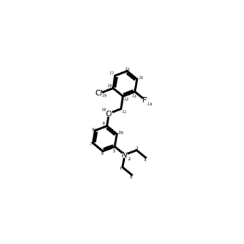 CCN(CC)c1cc[c]c(OCc2c(F)cccc2Cl)c1